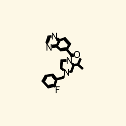 CC(C)C1CN(Cc2ccccc2F)CCN1C(=O)c1ccc2nccnc2c1